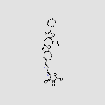 Cc1oc(-c2ccccc2)nc1Cc1cc2cc(/C=C/C=C3\OC(=O)NC3=O)ccc2o1